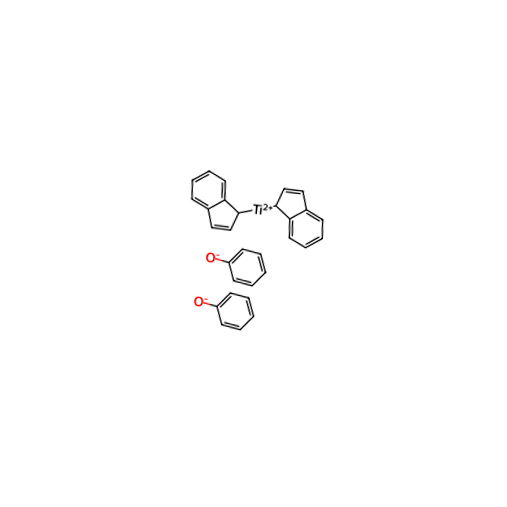 C1=C[CH]([Ti+2][CH]2C=Cc3ccccc32)c2ccccc21.[O-]c1ccccc1.[O-]c1ccccc1